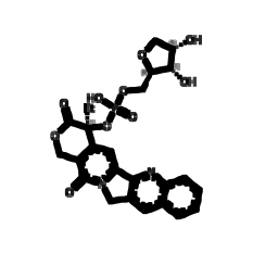 CC[C@@]1(OP(=O)(O)OC[C@H]2OC[C@H](O)[C@@H]2O)C(=O)OCc2c1cc1n(c2=O)Cc2cc3ccccc3nc2-1